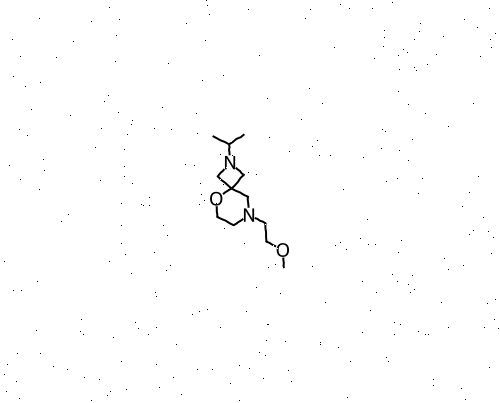 COCCN1CCOC2(C1)CN(C(C)C)C2